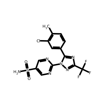 Cc1ccc(-c2nc(C(F)(F)F)nn2-c2ncc(S(N)(=O)=O)cn2)cc1Cl